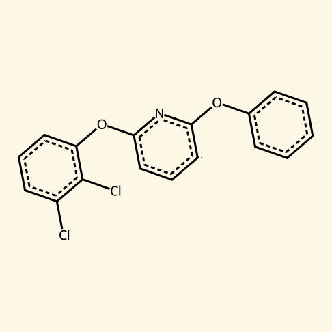 Clc1cccc(Oc2cc[c]c(Oc3ccccc3)n2)c1Cl